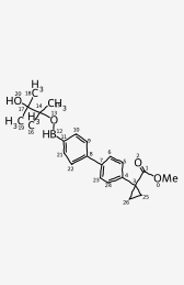 COC(=O)C1(c2ccc(-c3ccc(BOC(C)(C)C(C)(C)O)cc3)cc2)CC1